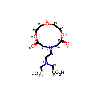 O=C(O)CN(CCN1CC(=O)OCCOCCOC(=O)C1)CC(=O)O